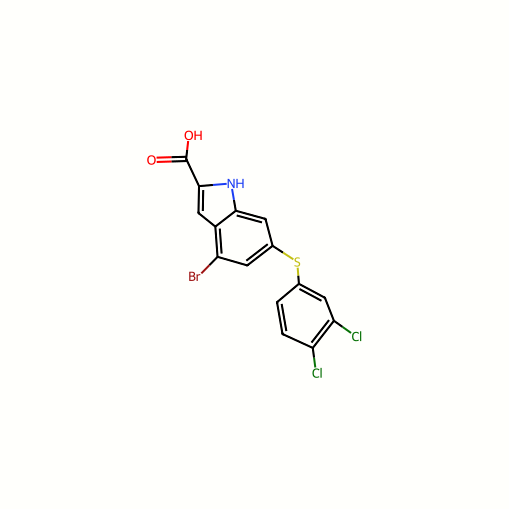 O=C(O)c1cc2c(Br)cc(Sc3ccc(Cl)c(Cl)c3)cc2[nH]1